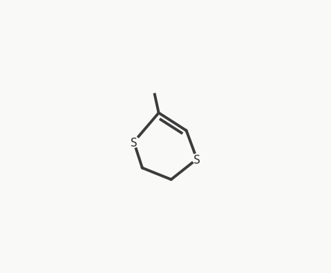 CC1=CSCCS1